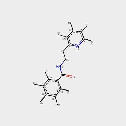 Cc1nc(CCNC(=O)c2c(C)c(C)c(C)c(C)c2C)c(C)c(C)c1C